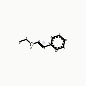 CCO/C=C/c1ccccc1